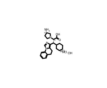 Cl.Cl.Cl.N[C@H]1CCN([C@H](C(=O)O)C(c2ncn3c2CCc2ccccc2-3)C2CCCCC2)C1